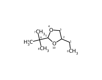 CCC1COC(C(C)(C)C)O1